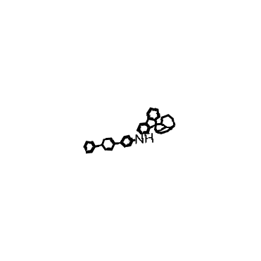 C1=CC(c2ccccc2)CC=C1c1ccc(Nc2ccc3c(c2)C2(c4ccccc4-3)C3CCC4CCCC2C(C4)C3)cc1